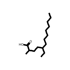 CCCCCCCCC(CC)CCC(C)C(=O)O